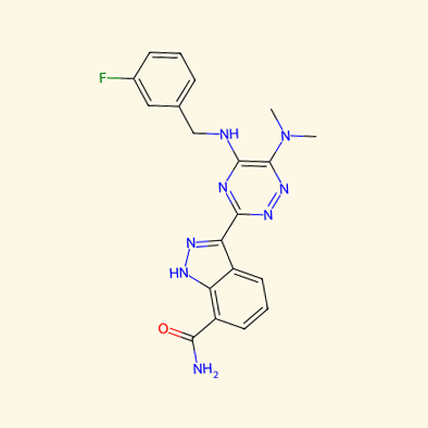 CN(C)c1nnc(-c2n[nH]c3c(C(N)=O)cccc23)nc1NCc1cccc(F)c1